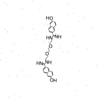 N=C(NCCOCCOCCNC(=N)c1ccc2cc(O)ccc2c1)c1ccc2cc(O)ccc2c1